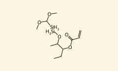 C=CC(=O)OC(CC)C(C)O[SiH3].COC([SiH3])OC